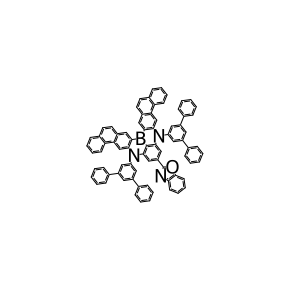 c1ccc(-c2cc(-c3ccccc3)cc(N3c4cc5c(ccc6ccccc65)cc4B4c5cc6ccc7ccccc7c6cc5N(c5cc(-c6ccccc6)cc(-c6ccccc6)c5)c5cc(-c6nc7ccccc7o6)cc3c54)c2)cc1